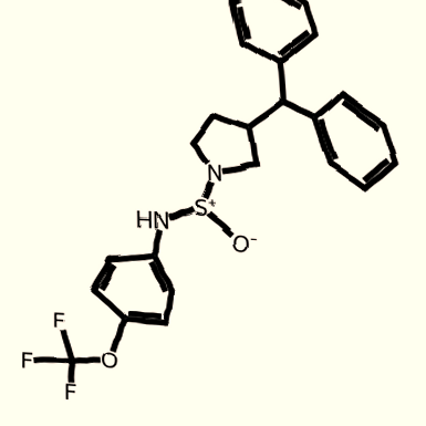 [O-][S+](Nc1ccc(OC(F)(F)F)cc1)N1CCC(C(c2ccccc2)c2ccccc2)C1